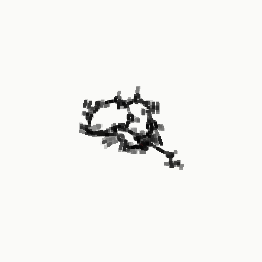 [SiH3]O[SiH]1O[SiH]2O[SiH]3O[SiH2]O[SiH]4O[SiH](O1)O[SiH](O2)O[SiH](O3)O4